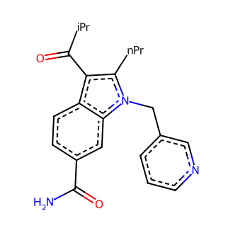 CCCc1c(C(=O)C(C)C)c2ccc(C(N)=O)cc2n1Cc1cccnc1